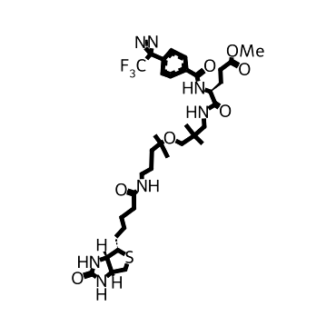 COC(=O)CC[C@H](NC(=O)c1ccc(C2(C(F)(F)F)N=N2)cc1)C(=O)NCC(C)(C)COC(C)(C)CCCNC(=O)CCCC[C@@H]1SC[C@@H]2NC(=O)N[C@@H]21